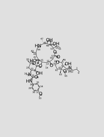 CCCNC[C@]1(O)[C@H](C)O[C@@H](O[C@H]2[C@H](C)[C@@H](O[C@@H]3O[C@H](C)C[C@H](N(C)C(=O)Nc4ccc(OC)cc4)[C@H]3O)[C@](C)(O)C[C@@H](C)CN[C@H](C)[C@@H](O)[C@](C)(O)[C@@H](CC)OC(=O)[C@@H]2C)C[C@@]1(C)OC